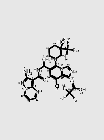 CC(NC(=O)c1c(N)nn2cccnc12)c1cc(Cl)c2cncn2c1N1CCCC(O)(C(F)(F)F)C1.O=C(O)C(F)(F)F